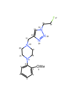 COc1ccccc1N1CCN(Cc2cn(CCF)nn2)CC1